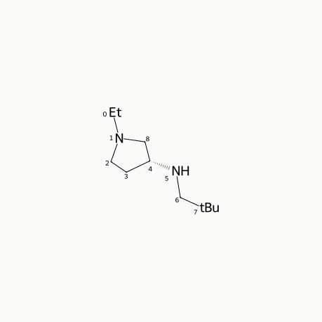 CCN1CC[C@@H](NCC(C)(C)C)C1